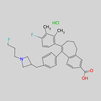 Cc1c(F)ccc(C2=C(c3ccc(CC4CN(CCCF)C4)cc3)c3ccc(C(=O)O)cc3CCC2)c1C.Cl